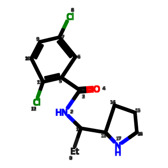 CCC(NC(=O)c1cc(Cl)ccc1Cl)C1CCCN1